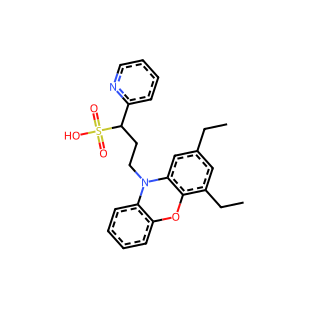 CCc1cc(CC)c2c(c1)N(CCC(c1ccccn1)S(=O)(=O)O)c1ccccc1O2